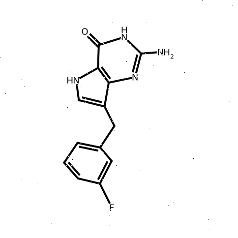 Nc1nc2c(Cc3cccc(F)c3)c[nH]c2c(=O)[nH]1